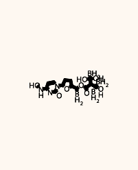 BC(OC(=O)C(C(B)(B)O)C(B)(O)O)C1CCC(n2ccc(NO)nc2=O)O1